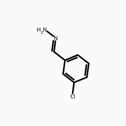 NN=Cc1cccc(Cl)c1